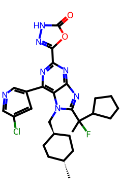 CC(F)(c1nc2nc(-c3n[nH]c(=O)o3)nc(-c3cncc(Cl)c3)c2n1C[C@H]1CC[C@H](C)CC1)C1CCCC1